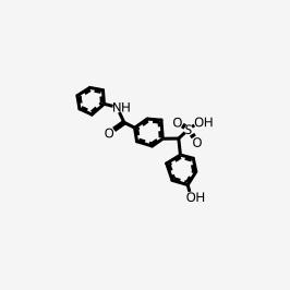 O=C(Nc1ccccc1)c1ccc(C(c2ccc(O)cc2)S(=O)(=O)O)cc1